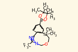 CC1(C)OB(c2ccc3c(c2)[Si](C)(C)CCOCn2nc-3nc2C(F)(F)F)OC1(C)C